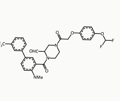 CNc1ccc(-c2cccc(C(F)(F)F)c2)cc1C(=O)N1CCN(C(=O)COc2ccc(OC(F)F)cc2)CC1C=O